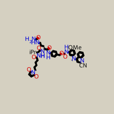 COc1ccc(N(C)c2cc(C#N)nc3ccccc23)cc1NC(=O)OCc1ccc(NC(=O)[C@H](CCCNC(N)=O)NC(=O)C(NC(=O)CCCCCN2C(=O)C=CC2=O)C(C)C)cc1